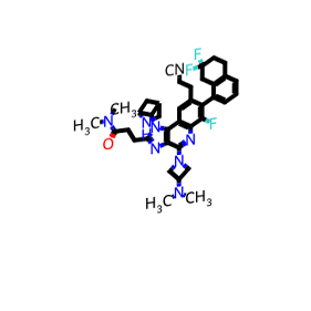 CN(C)C(=O)CCc1nc2c(N3CC(N(C)C)C3)nc3c(F)c(-c4cccc5c4CC(F)(F)CC5)c(CCC#N)cc3c2n1C1C2CNC1C2